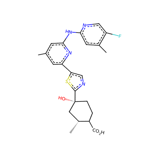 Cc1cc(Nc2cc(C)c(F)cn2)nc(-c2cnc([C@@]3(O)CCC(C(=O)O)[C@H](C)C3)s2)c1